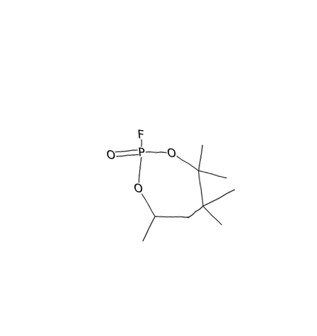 CC1CC(C)(C)C(C)(C)OP(=O)(F)O1